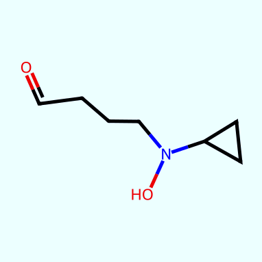 O=CCCCN(O)C1CC1